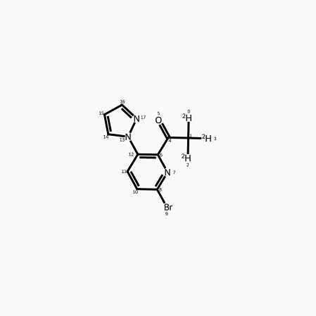 [2H]C([2H])([2H])C(=O)c1nc(Br)ccc1-n1cccn1